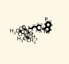 CC(C)(C)OC(=O)N(C/C=C/C1CCN(c2nccc3ccc(F)cc23)CC1)C(=O)OC(C)(C)C